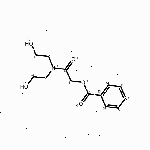 O=C(OCC(=O)N(CCO)CCO)c1ccccc1